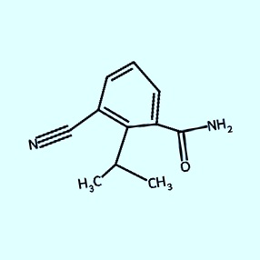 CC(C)c1c(C#N)cccc1C(N)=O